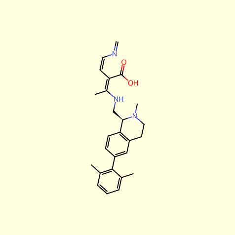 C=N/C=C\C(C(=O)O)=C(/C)NC[C@@H]1c2ccc(-c3c(C)cccc3C)cc2CCN1C